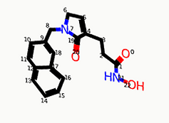 O=C(CCC1=CCN(Cc2ccc3ccccc3c2)C1=O)NO